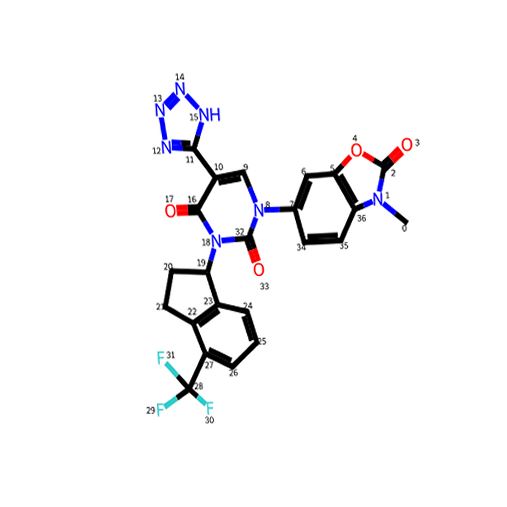 Cn1c(=O)oc2cc(-n3cc(-c4nnn[nH]4)c(=O)n(C4CCc5c4cccc5C(F)(F)F)c3=O)ccc21